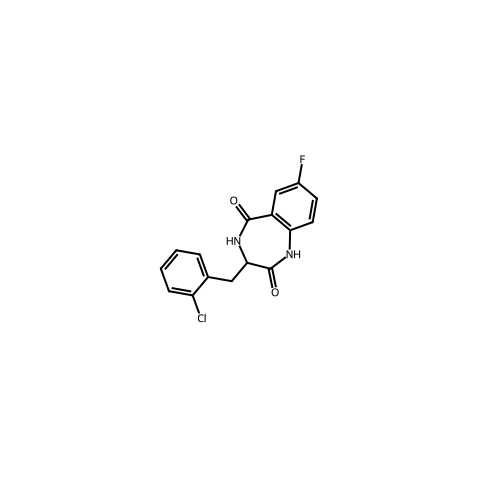 O=C1NC(Cc2ccccc2Cl)C(=O)Nc2ccc(F)cc21